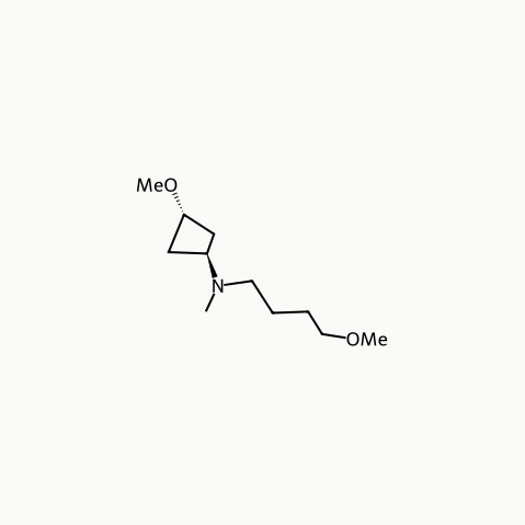 COCCCCN(C)[C@H]1C[C@H](OC)C1